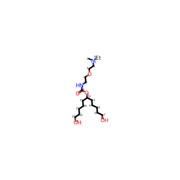 CCN(C)CCOCCNC(=O)OC(CCCCCO)CCCCCO